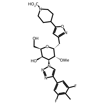 CO[C@@H]1[C@@H](n2cc(-c3cc(F)c(C)c(F)c3)nn2)[C@@H](O)[C@@H](CO)O[C@@H]1Cc1cc(C2CCN(C(=O)O)CC2)on1